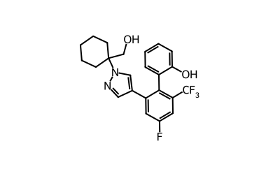 OCC1(n2cc(-c3cc(F)cc(C(F)(F)F)c3-c3ccccc3O)cn2)CCCCC1